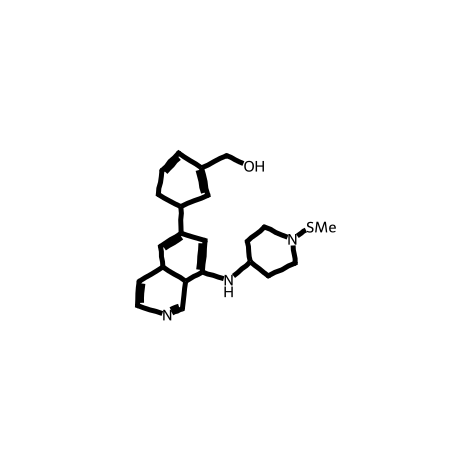 CSN1CCC(NC2=CC(C3C=C(CO)C=CC3)=CC3C=CN=CC23)CC1